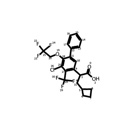 O=C(O)C(CC1CCC1)c1cc(-c2ccccc2)c(OCC(F)(F)F)c(Cl)c1C(F)(F)F